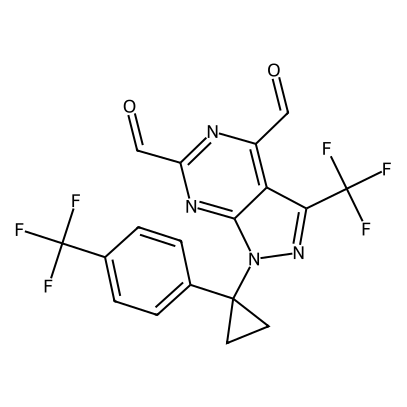 O=Cc1nc(C=O)c2c(C(F)(F)F)nn(C3(c4ccc(C(F)(F)F)cc4)CC3)c2n1